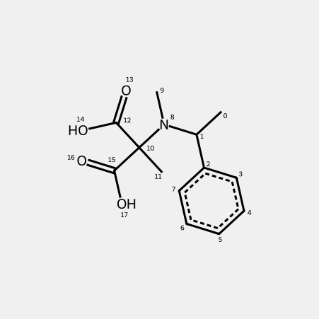 CC(c1ccccc1)N(C)C(C)(C(=O)O)C(=O)O